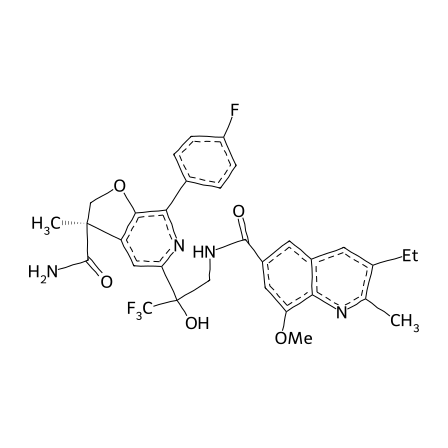 CCc1cc2cc(C(=O)NCC(O)(c3cc4c(c(-c5ccc(F)cc5)n3)OC[C@]4(C)C(N)=O)C(F)(F)F)cc(OC)c2nc1C